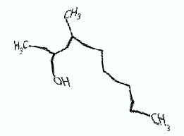 CCCCCC(C)C(C)O